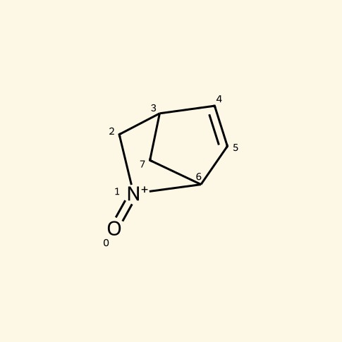 O=[N+]1CC2C=CC1C2